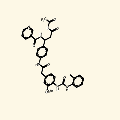 COc1cc(CC(=O)Nc2ccc(C(CC(=O)OC(=O)C(F)(F)F)NC(=O)c3cccnc3)cc2)ccc1NC(=O)Nc1ccccc1C